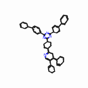 C1=CCC(C2=CCC(c3nc(-c4ccc(C5C=CC=CC5)cc4)nc(C4CCC(C5=NC=C(C6=CCCCC6)C(C6C=CCCC6)C5)CC4)n3)C=C2)C=C1